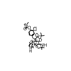 Cc1c[nH]nc1S(=O)(=O)N(C(=O)[C@H]1NC(C)(C)CS1)[C@@H](Cc1ccc(OC(=O)N(C)C)c(Cl)c1)C(=O)OC(C)C